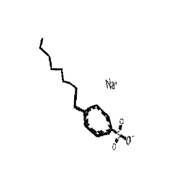 CCCCCCCCc1ccc(S(=O)(=O)[O-])cc1.[Na+]